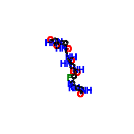 Nc1ncc(-c2ccc(S(=O)(=O)Nc3ccc(NC(=O)CNCCCC(=O)Nc4cccc5c4CN(C4CCC(=O)NC4=O)C5)cc3)cc2F)cc1-c1ccc2c(c1)CCNC2=O